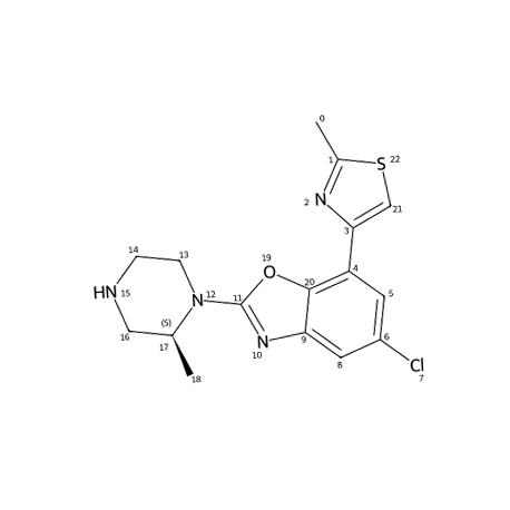 Cc1nc(-c2cc(Cl)cc3nc(N4CCNC[C@@H]4C)oc23)cs1